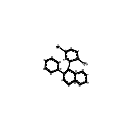 Cc1ccc(C#N)nc1-c1c(-c2ccccc2)ccc2ccccc12